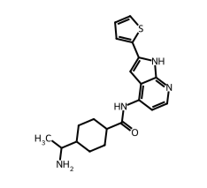 CC(N)C1CCC(C(=O)Nc2ccnc3[nH]c(-c4cccs4)cc23)CC1